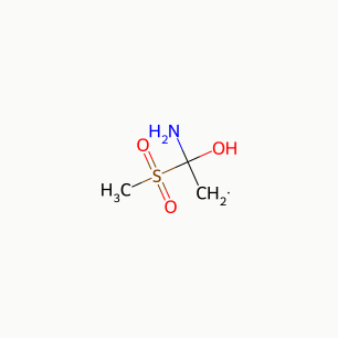 [CH2]C(N)(O)S(C)(=O)=O